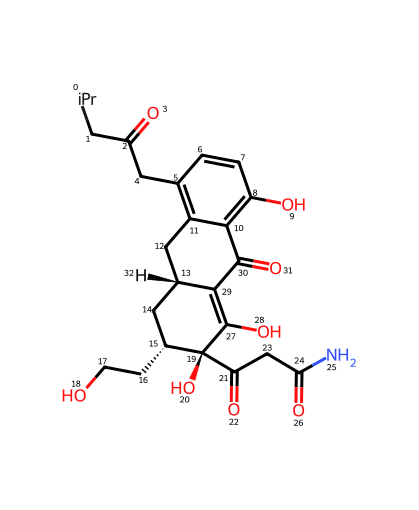 CC(C)CC(=O)Cc1ccc(O)c2c1C[C@H]1C[C@@H](CCO)[C@@](O)(C(=O)CC(N)=O)C(O)=C1C2=O